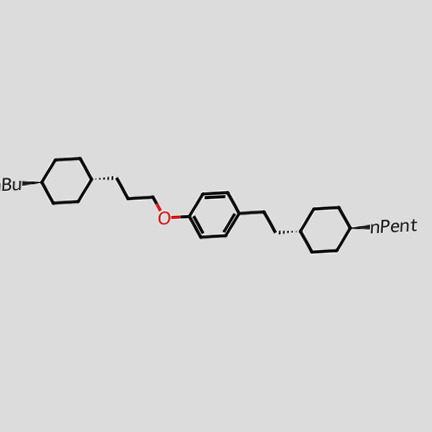 CCCCC[C@H]1CC[C@H](CCc2ccc(OCCC[C@H]3CC[C@H](CCCC)CC3)cc2)CC1